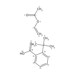 C=COC(C)=O.CC(C)(C)c1ccccc1C(=O)O